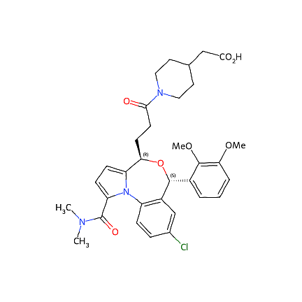 COc1cccc([C@H]2O[C@H](CCC(=O)N3CCC(CC(=O)O)CC3)c3ccc(C(=O)N(C)C)n3-c3ccc(Cl)cc32)c1OC